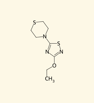 CCOc1nsc(N2CCSCC2)n1